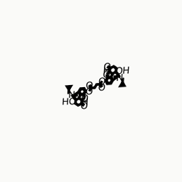 O=C(CCC(=O)Oc1ccc2c3c1O[C@H]1C(=O)CC[C@@]4(O)C5N(CC6CC6)C25C[C@]314)Oc1ccc2c3c1O[C@H]1C(=O)CC[C@@]4(O)C5N(CC6CC6)C25C[C@]314